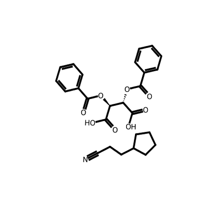 N#CCCC1CCCC1.O=C(O[C@H](C(=O)O)[C@H](OC(=O)c1ccccc1)C(=O)O)c1ccccc1